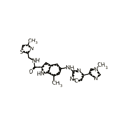 Cc1csc(CNC(=O)c2cc3cc(Nc4nccc(-c5cn(C)cn5)n4)cc(C)c3[nH]2)n1